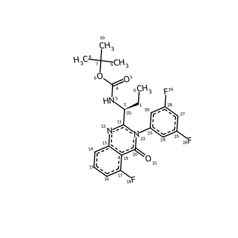 CC[C@H](NC(=O)OC(C)(C)C)c1nc2cccc(F)c2c(=O)n1-c1cc(F)cc(F)c1